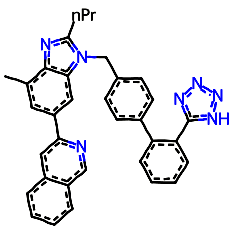 CCCc1nc2c(C)cc(-c3cc4ccccc4cn3)cc2n1Cc1ccc(-c2ccccc2-c2nnn[nH]2)cc1